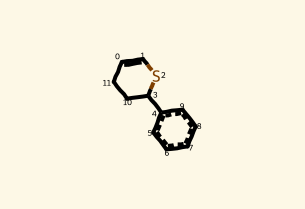 C1=CSC(c2ccccc2)CC1